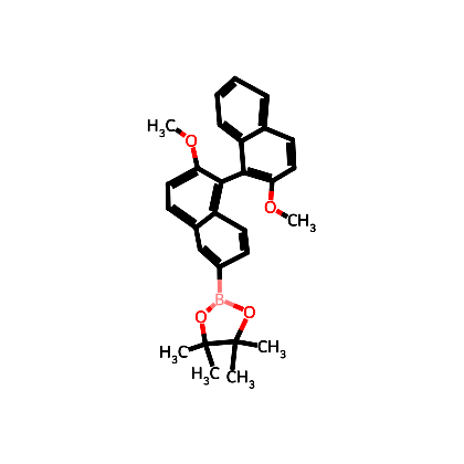 COc1ccc2ccccc2c1-c1c(OC)ccc2cc(B3OC(C)(C)C(C)(C)O3)ccc12